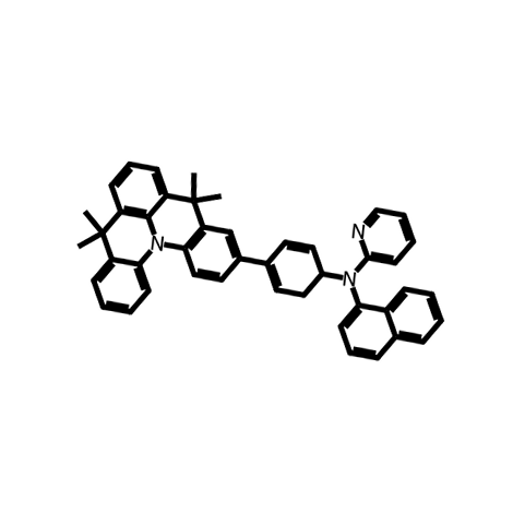 CC1(C)c2ccccc2N2c3ccc(C4=CCC(N(c5ccccn5)c5cccc6ccccc56)C=C4)cc3C(C)(C)c3cccc1c32